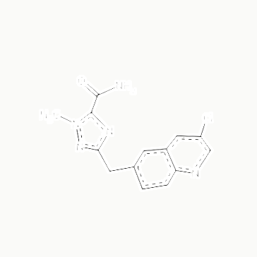 Cn1nc(Cc2ccc3ncc(Cl)cc3c2)nc1C(N)=O